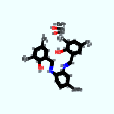 CC(=O)[O-].CC(=O)[O-].COc1ccc(N=Cc2cc(C(F)(F)F)cc(C(F)(F)F)c2O)c(N=Cc2cc(C(F)(F)F)cc(C(F)(F)F)c2O)c1.[Co+2]